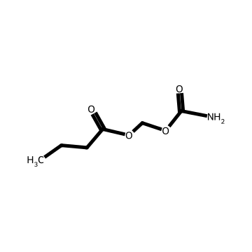 CCCC(=O)OCOC(N)=O